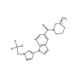 C[C@H]1CCCN(C(=O)c2cnc3c(ccn3-c3cnn(CC(F)(F)F)c3)c2)C1